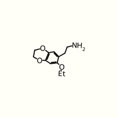 CCOc1cc2c(cc1CCN)OCCO2